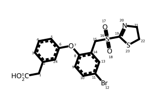 O=C(O)Cc1cccc(Oc2ccc(Br)cc2CS(=O)(=O)C2=NCCS2)c1